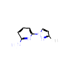 Cc1ccn(-c2cccc(N)n2)n1